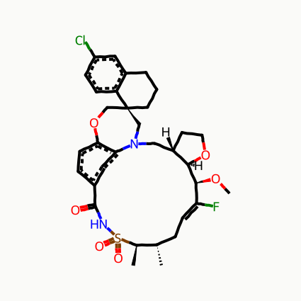 CO[C@H]1/C(F)=C/C[C@H](C)[C@@H](C)S(=O)(=O)NC(=O)c2ccc3c(c2)N(C[C@@H]2CCO[C@H]21)C[C@@]1(CCCc2cc(Cl)ccc21)CO3